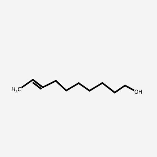 CC=CCCCCCCCO